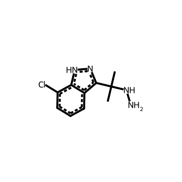 CC(C)(NN)c1n[nH]c2c(Cl)cccc12